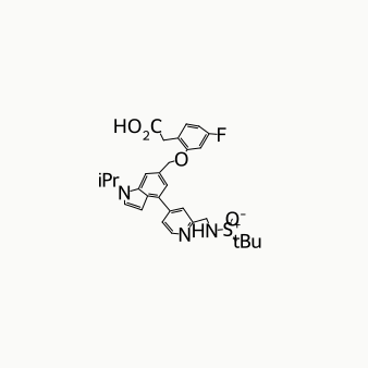 CC(C)n1ccc2c(-c3ccnc(CN[S@@+]([O-])C(C)(C)C)c3)cc(COc3cc(F)ccc3CC(=O)O)cc21